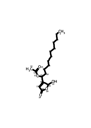 CCCCCCCCCCCC(OC(C)=O)C1=CC(=O)OC1O